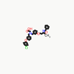 Cc1oc(-c2ccccc2)nc1CCOc1cccc(CN(CC(=O)O)Cc2cccc(Oc3ccc(Cl)cc3)c2)c1